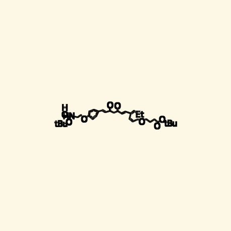 CC/C=C(\C=C/COCCCC(=O)OC(C)(C)C)/C=C/C(=O)CC(=O)/C=C/c1ccc(OCCNC(O)OC(C)(C)C)cc1